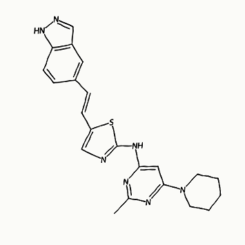 Cc1nc(Nc2ncc(/C=C/c3ccc4[nH]ncc4c3)s2)cc(N2CCCCC2)n1